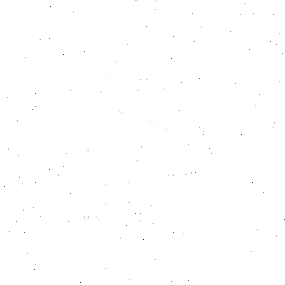 CNCC1(O)CCC(c2nc(Br)c3c(C)nccn23)CC1